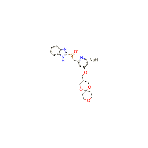 [NaH].[O-][S+](Cc1cc(OCC2COC3(CCOCC3)OC2)ccn1)c1nc2ccccc2[nH]1